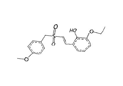 CCOc1cccc(C=CS(=O)(=O)Cc2ccc(OC)cc2)c1O